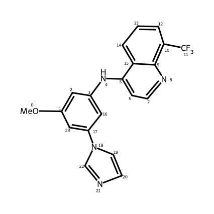 COc1cc(Nc2ccnc3c(C(F)(F)F)cccc23)cc(-n2ccnc2)c1